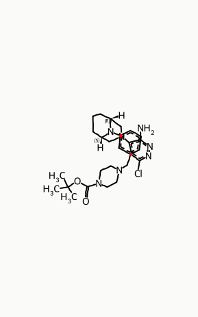 CC(C)(C)OC(=O)N1CCN(Cc2cccc(N3[C@@H]4CCC[C@H]3CN(c3cc(Cl)nnc3N)C4)c2)CC1